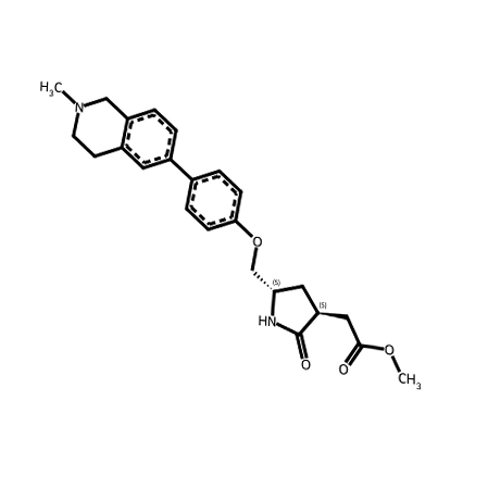 COC(=O)C[C@@H]1C[C@@H](COc2ccc(-c3ccc4c(c3)CCN(C)C4)cc2)NC1=O